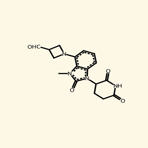 Cn1c(=O)n(C2CCC(=O)NC2=O)c2cccc(N3CC(C=O)C3)c21